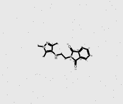 Cc1nn(C)c(C)c1NCCN1C(=O)c2ccccc2C1=O